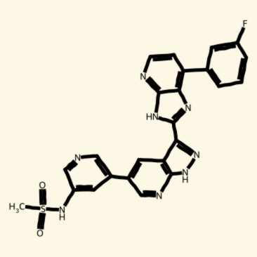 CS(=O)(=O)Nc1cncc(-c2cnc3[nH]nc(-c4nc5c(-c6cccc(F)c6)ccnc5[nH]4)c3c2)c1